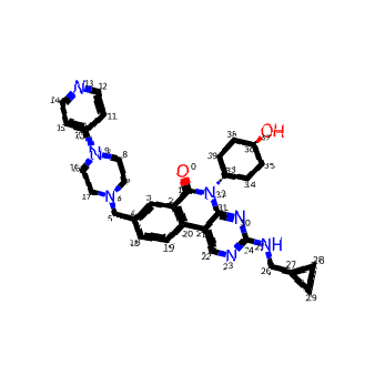 O=c1c2cc(CN3CCN(c4ccncc4)CC3)ccc2c2cnc(NCC3CC3)nc2n1[C@H]1CC[C@H](O)CC1